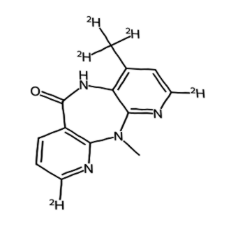 [2H]c1ccc2c(n1)N(C)c1nc([2H])cc(C([2H])([2H])[2H])c1NC2=O